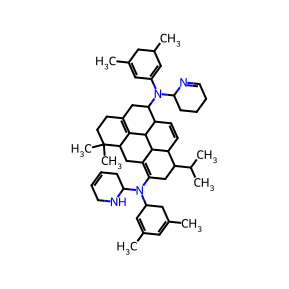 CC1=CC(N(C2=C3CC4C5=C(CCC4(C)C)CC(N(C4=CC(C)CC(C)=C4)C4CCCC=N4)C4C=CC(C(C(C)C)C2)C3C54)C2CC=CCN2)CC(C)=C1